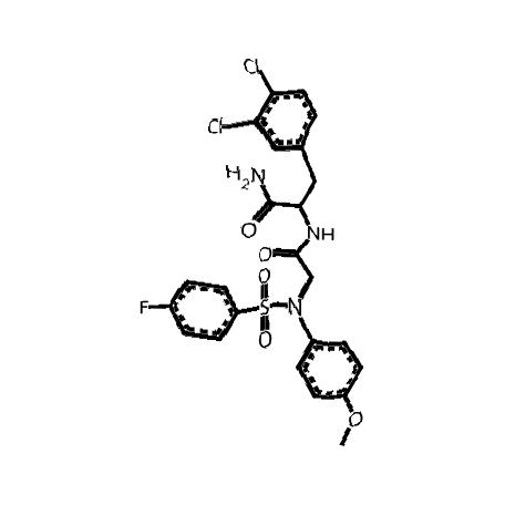 COc1ccc(N(CC(=O)NC(Cc2ccc(Cl)c(Cl)c2)C(N)=O)S(=O)(=O)c2ccc(F)cc2)cc1